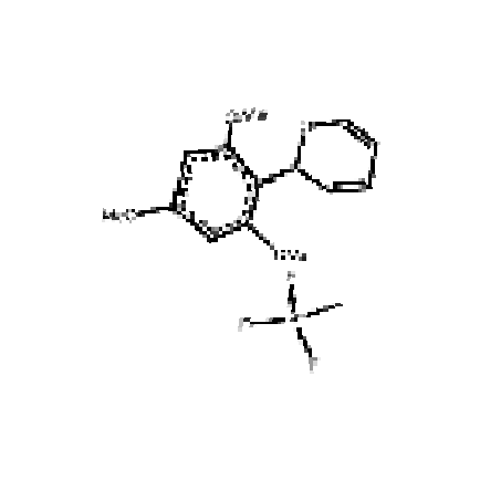 COc1cc(OC)c(C2C=CC=CO2)c(OC)c1.F[B-](F)(F)F